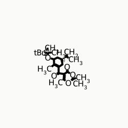 C=C(C)[C@H]1CC(C(=O)C2=C(C)OC(C)(C)OC2=O)=C(C)C(O[Si](C)(C)C(C)(C)C)C1